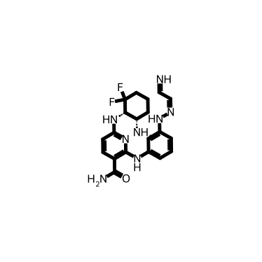 N=C/C=N\Nc1cccc(Nc2nc(N[C@H]3[C@@H](N)CCCC3(F)F)ccc2C(N)=O)c1